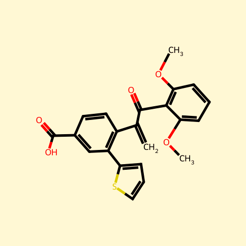 C=C(C(=O)c1c(OC)cccc1OC)c1ccc(C(=O)O)cc1-c1cccs1